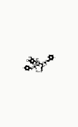 CON=C[C@@H](F)[C@H](OC(=O)OCc1ccccc1)[C@@H](COC(=O)OCc1ccccc1)OS(=O)(=O)c1cc(Cl)c(Cl)cc1Cl